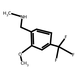 CNCc1ccc(C(F)(F)F)cc1OC